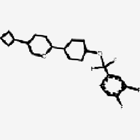 Fc1ccc(C(F)(F)OC2CCC(C3CCC(C4CCC4)CO3)CC2)cc1F